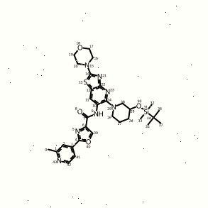 Cc1cc(-c2nc(C(=O)Nc3cc4sc(N5CCOCC5)nc4nc3N3CCCC(O[Si](C)(C)C(C)(C)C)C3)co2)ccn1